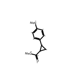 CNc1ccc(C2CC2C(=O)OC)cc1